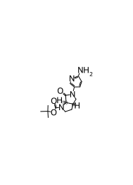 CC(C)(C)OC(=O)N1CC[C@@H]2CN(c3ccc(N)nc3)C(=O)[C@@H]21